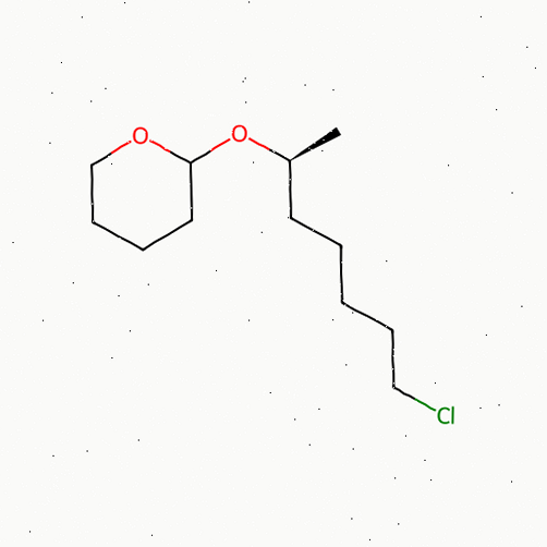 C[C@@H](CCCCCCl)OC1CCCCO1